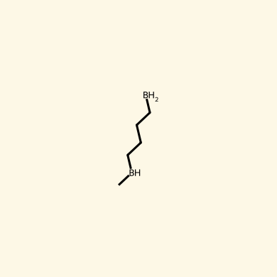 BCCCCBC